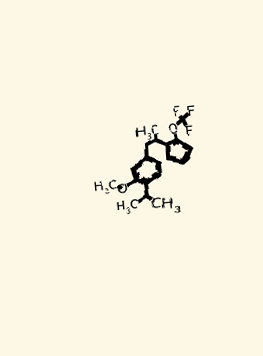 COc1cc(CC(C)c2ccccc2OC(F)(F)F)ccc1C(C)C